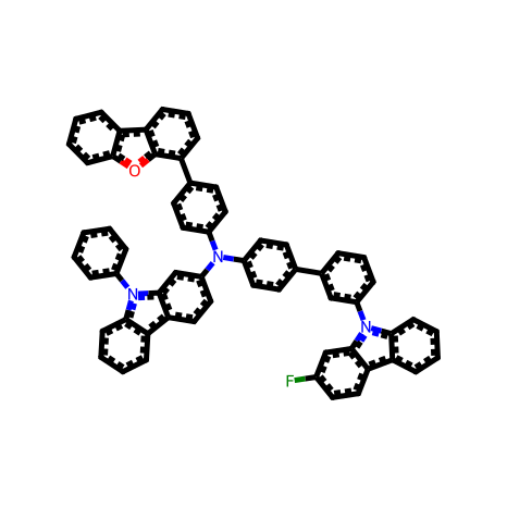 Fc1ccc2c3ccccc3n(-c3cccc(-c4ccc(N(c5ccc(-c6cccc7c6oc6ccccc67)cc5)c5ccc6c7ccccc7n(-c7ccccc7)c6c5)cc4)c3)c2c1